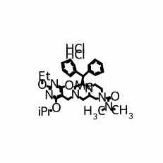 CCOc1nc(OC)c(CN2CC3CN(C(=O)N(C)C)CCN3C(C(c3ccccc3)c3ccccc3)C2)c(OC(C)C)n1.Cl.Cl